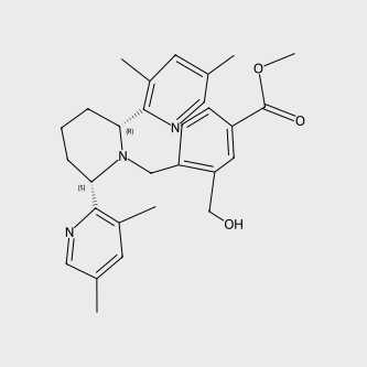 COC(=O)c1ccc(CN2[C@@H](c3ncc(C)cc3C)CCC[C@H]2c2ncc(C)cc2C)c(CO)c1